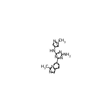 Cc1ncc2ccc(-c3nc(N)nc(Nc4cnn(C)c4)n3)cn12